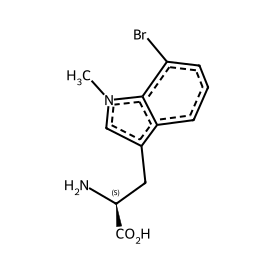 Cn1cc(C[C@H](N)C(=O)O)c2cccc(Br)c21